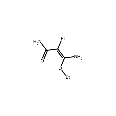 CCOC(N)=C(CC)C(N)=O